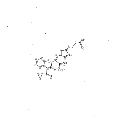 Cl.O=C(O)CCCn1cc(C=C2CN(C(C(=O)C3CC3)c3ccccc3F)CCC2S)nn1